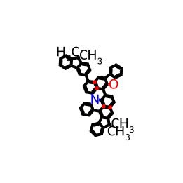 CC1(C)c2ccccc2-c2cc(-c3ccc(N(c4ccccc4-c4cccc5c4-c4ccccc4C5(C)C)c4ccccc4-c4cccc5c4oc4ccccc45)cc3)ccc21